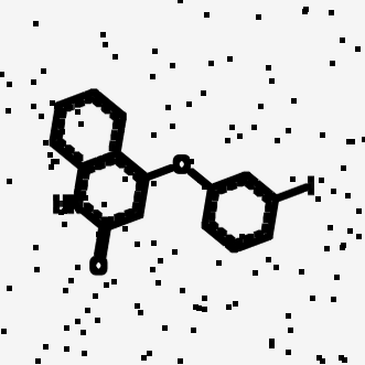 O=c1cc(Oc2cccc(I)c2)c2ccccc2[nH]1